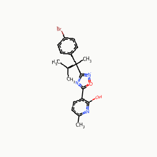 Cc1ccc(-c2nc(C(C)(c3ccc(Br)cc3)C(C)C)no2)c(O)n1